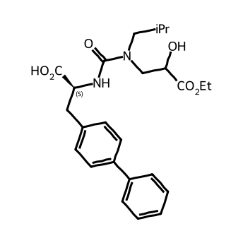 CCOC(=O)C(O)CN(CC(C)C)C(=O)N[C@@H](Cc1ccc(-c2ccccc2)cc1)C(=O)O